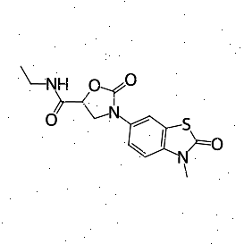 CCNC(=O)C1CN(c2ccc3c(c2)sc(=O)n3C)C(=O)O1